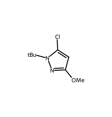 COc1cc(Cl)n(C(C)(C)C)n1